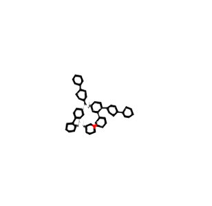 c1ccc(-c2ccc(-c3ccc(N(c4ccc(-c5ccccc5)cc4)c4ccc5c6ccccc6n(-c6ccccc6)c5c4)cc3-c3ccccc3)cc2)cc1